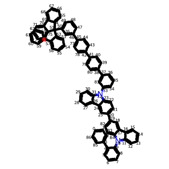 c1ccc(-c2ccccc2-n2c3ccccc3c3cc(-c4ccc5c(c4)c4ccccc4n5-c4cccc(-c5ccc(-c6ccc(-c7cccc(C8(c9ccccc9-c9ccccc9)c9ccccc9-c9ccccc98)c7)cc6)cc5)c4)ccc32)cc1